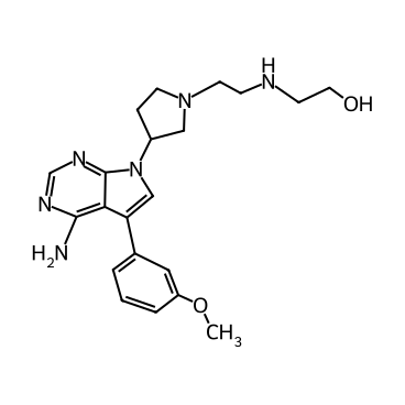 COc1cccc(-c2cn(C3CCN(CCNCCO)C3)c3ncnc(N)c23)c1